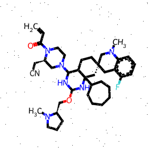 C=CC(=O)N1CCN(C2NC(OC[C@H]3CCCN3C)NC3(C4CCCCCC4)C[C@@]4(CCC23)Cc2c(F)cccc2N(C)C4)C[C@H]1CC#N